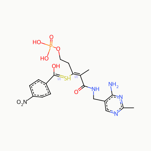 C/C(C(=O)NCc1cnc(C)nc1N)=C(CCOP(=O)(O)O)/[SH]=C(\O)c1ccc([N+](=O)[O-])cc1